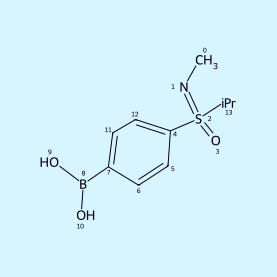 CN=S(=O)(c1ccc(B(O)O)cc1)C(C)C